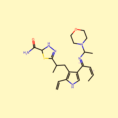 C=Cc1[nH]cc(C(/C=C\C)=N/C(C)N2CCOCC2)c1CC(C)C1=NNC(C(N)=O)S1